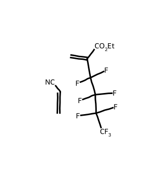 C=C(C(=O)OCC)C(F)(F)C(F)(F)C(F)(F)C(F)(F)F.C=CC#N